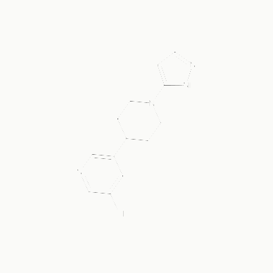 FC(F)(F)c1cncc(C2CCN(c3ccn[nH]3)CC2)c1